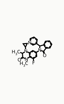 CC1C(=O)N(C)c2c(F)cc(N3C(=O)c4ccccc4C3c3cccnc3)cc2N1C1CC1